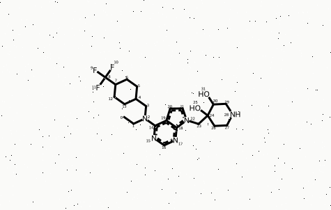 CCN(CC1CCC(C(F)(F)F)CC1)c1ncnc2c1ccn2CC1(O)CCNCC1O